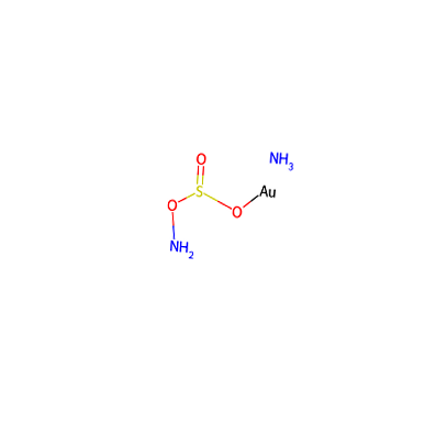 N.NOS(=O)[O][Au]